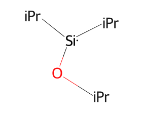 CC(C)O[Si](C(C)C)C(C)C